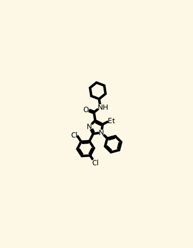 CCc1c(C(=O)NC2CCCCC2)nc(-c2cc(Cl)ccc2Cl)n1-c1ccccc1